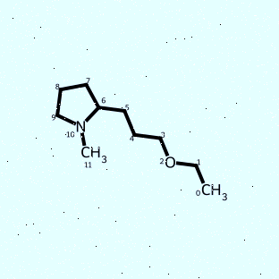 CCOCCCC1CCCN1C